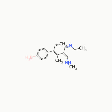 Bc1ccc(/C(C=C)=C(C)/C(/C=N\CC)=C\NC)cc1